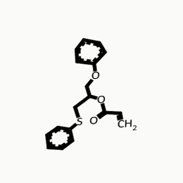 C=CC(=O)OC(COc1ccccc1)CSc1ccccc1